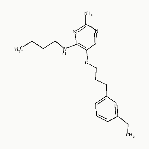 CCCCNc1nc(N)ncc1OCCCc1cccc(CC)c1